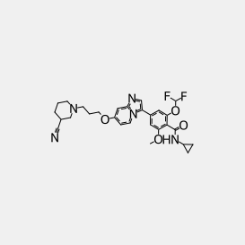 COc1cc(-c2cnc3cc(OCCCN4CCCC(C#N)C4)ccn23)cc(OC(F)F)c1C(=O)NC1CC1